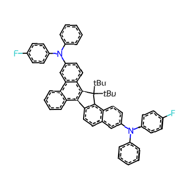 CC(C)(C)C1(C(C)(C)C)c2c(ccc3cc(N(c4ccccc4)c4ccc(F)cc4)ccc23)-c2c1c1ccc(N(c3ccccc3)c3ccc(F)cc3)cc1c1ccccc21